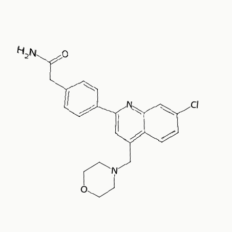 NC(=O)Cc1ccc(-c2cc(CN3CCOCC3)c3ccc(Cl)cc3n2)cc1